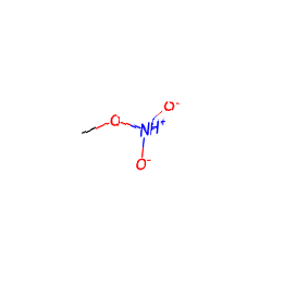 CO[NH+]([O-])[O-]